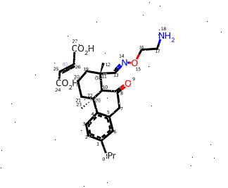 CC(C)c1ccc2c(c1)CC(=O)C1[C@@](C)(C=NOCCN)CCC[C@]21C.O=C(O)/C=C/C(=O)O